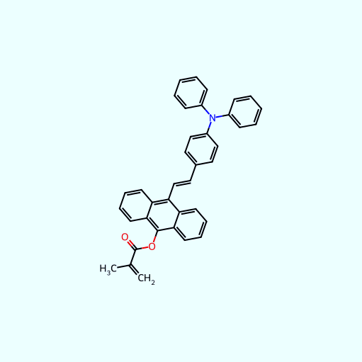 C=C(C)C(=O)Oc1c2ccccc2c(/C=C/c2ccc(N(c3ccccc3)c3ccccc3)cc2)c2ccccc12